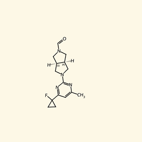 Cc1cc(C2(F)CC2)nc(N2C[C@H]3CN(C=O)C[C@H]3C2)n1